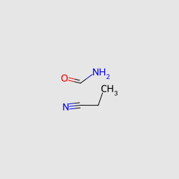 CCC#N.NC=O